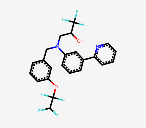 OC(CN(Cc1cccc(OC(F)(F)C(F)F)c1)c1cccc(-c2ccccn2)c1)C(F)(F)F